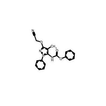 Cc1c(OCC#N)nn(-c2ccccc2)c1NC(=O)Oc1ccccc1